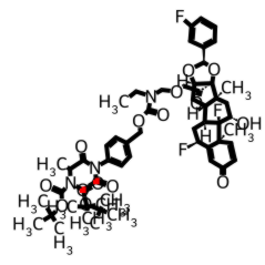 CCN(COCC(=O)[C@@]12O[C@H](c3cccc(F)c3)O[C@@H]1C[C@H]1[C@@H]3C[C@H](F)C4=CC(=O)C=C[C@]4(C)[C@@]3(F)[C@@H](O)C[C@@]12C)C(=O)OCc1ccc(N(C(=O)OC(C)(C)C)C(=O)C(C)N(C(=O)OC(C)(C)C)C(=O)OC(C)(C)C)cc1